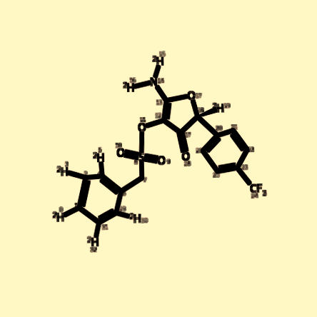 [2H]c1c([2H])c([2H])c(CS(=O)(=O)OC2=C(N([2H])[2H])O[C@]([2H])(c3ccc(C(F)(F)F)cc3)C2=O)c([2H])c1[2H]